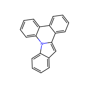 c1ccc2c(c1)cc1c3ccccc3c3ccccc3n21